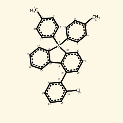 Cc1ccc(S2(c3ccc(C)cc3)c3ccccc3-c3c(-c4ccccc4Cl)cccc32)cc1